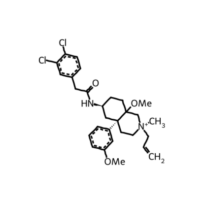 C=CC[N@@+]1(C)CC[C@@]2(c3cccc(OC)c3)C[C@@H](NC(=O)Cc3ccc(Cl)c(Cl)c3)CCC2(OC)C1